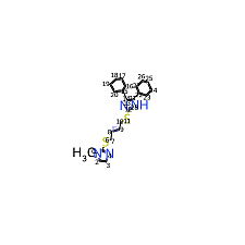 Cn1ccnc1SC/C=C/CSc1nc(-c2ccccc2)c(-c2ccccc2)[nH]1